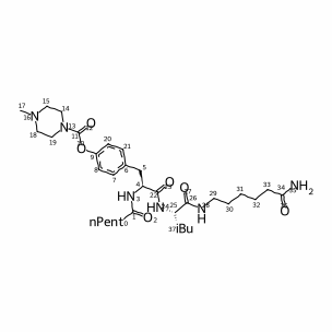 CCCCCC(=O)N[C@@H](Cc1ccc(OC(=O)N2CCN(C)CC2)cc1)C(=O)N[C@H](C(=O)NCCCCCC(N)=O)[C@@H](C)CC